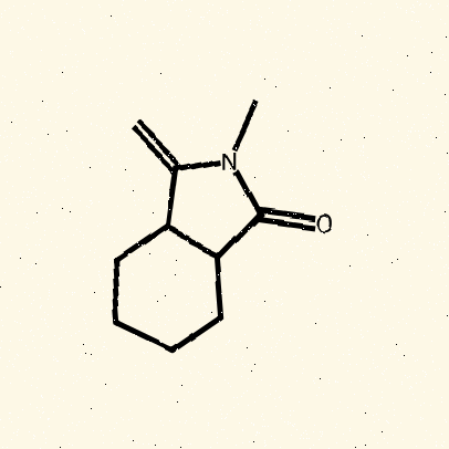 C=C1C2CCCCC2C(=O)N1C